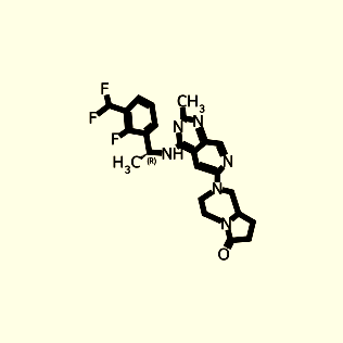 Cc1nc(N[C@H](C)c2cccc(C(F)F)c2F)c2cc(N3CCN4C(=O)CCC4C3)ncc2n1